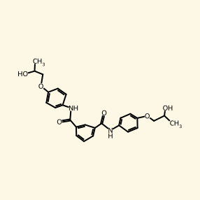 CC(O)COc1ccc(NC(=O)c2cccc(C(=O)Nc3ccc(OCC(C)O)cc3)c2)cc1